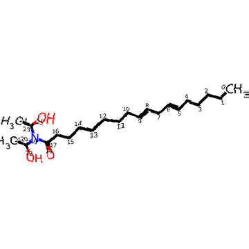 CCCCC/C=C/C/C=C/CCCCCCCC(=O)N(C(C)O)C(C)O